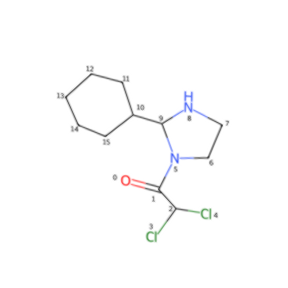 O=C(C(Cl)Cl)N1CCNC1C1CCCCC1